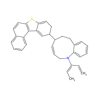 C=C/C(=C\C)N1C/C=C\C(C2C=c3c(sc4ccc5ccccc5c34)=CC2)CCc2ccccc21